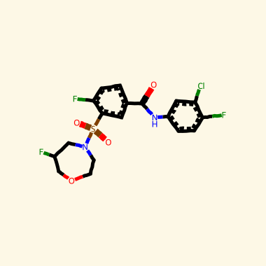 O=C(Nc1ccc(F)c(Cl)c1)c1ccc(F)c(S(=O)(=O)N2CCOCC(F)C2)c1